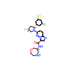 O=C(N[C@H]1CNCCOC1)c1cnc2ccc(N3C[C@@H](F)C[C@@H]3c3cc(F)cc(S)c3)nn12